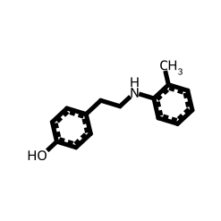 Cc1ccccc1NCCc1ccc(O)cc1